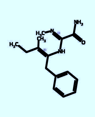 CC/C(C)=C(\Cc1ccccc1)N/C(=N\C)C(N)=O